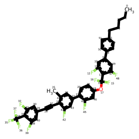 CCCCCc1ccc(-c2cc(F)c(C(F)(F)Oc3ccc(-c4cc(C)c(C#Cc5cc(F)c(C(F)(F)F)c(F)c5)c(F)c4)c(F)c3)c(F)c2)cc1